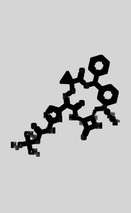 CC(C)(C)OC(=O)Nc1nc(C(=NOC2(C(=O)OC(c3ccccc3)c3ccccc3)CC2)C(=O)N[C@@H]2C(=O)N[C@H]2CN=[N+]=[N-])cs1